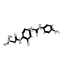 CCCN(CCC)CC(=O)Nc1ccc(NC(=S)Nc2ccc(N)cc2)cc1Cl